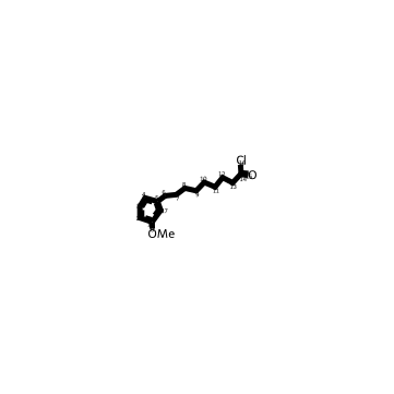 COc1cccc(CCCCCCCCC(=O)Cl)c1